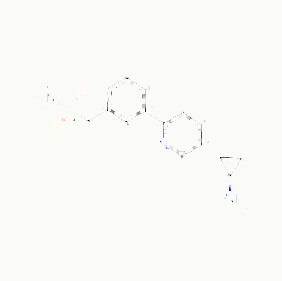 N[C@@H]1C[C@H]1c1ccc(-c2cccc(CS(N)(=O)=O)c2)nc1